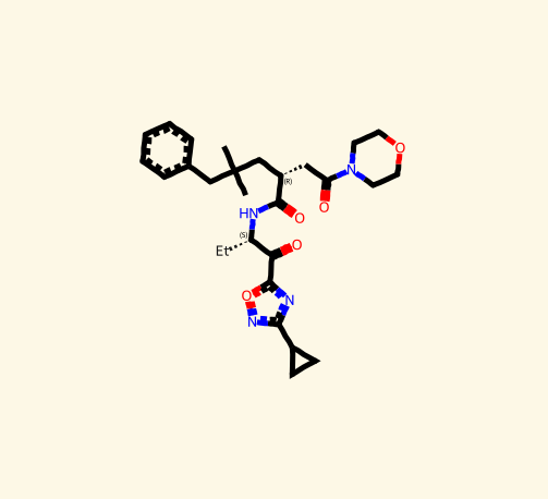 CC[C@H](NC(=O)[C@@H](CC(=O)N1CCOCC1)CC(C)(C)Cc1ccccc1)C(=O)c1nc(C2CC2)no1